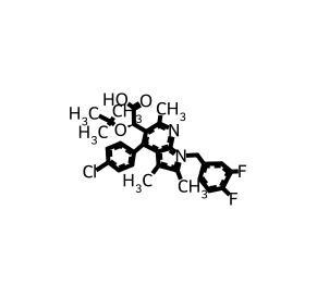 Cc1nc2c(c(C)c(C)n2Cc2ccc(F)c(F)c2)c(-c2ccc(Cl)cc2)c1[C@H](OC(C)(C)C)C(=O)O